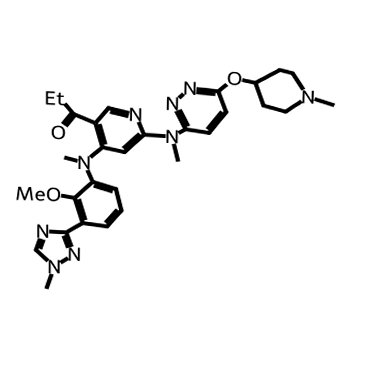 CCC(=O)c1cnc(N(C)c2ccc(OC3CCN(C)CC3)nn2)cc1N(C)c1cccc(-c2ncn(C)n2)c1OC